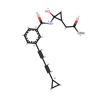 COC(=O)CC1CC1(O)NC(=O)c1cccc(C#CC#CC2CC2)c1